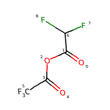 O=C(OC(=O)C(F)(F)F)C(F)F